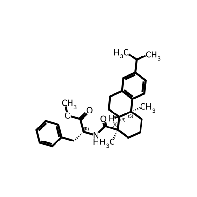 COC(=O)[C@@H](Cc1ccccc1)NC(=O)[C@]1(C)CCC[C@]2(C)c3ccc(C(C)C)cc3CC[C@@H]12